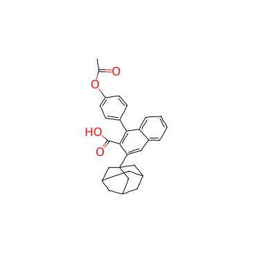 CC(=O)Oc1ccc(-c2c(C(=O)O)c(C34CC5CC(CC(C5)C3)C4)cc3ccccc23)cc1